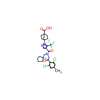 Cc1cc(Cl)c(C(=O)CN(CC2(F)CCCC2)C(=O)c2cnn(C34CCC(C(=O)O)(CC3)CC4)c2C(F)(F)F)c(Cl)c1